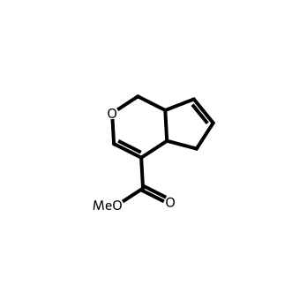 COC(=O)C1=COCC2C=CCC12